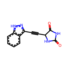 O=C1NC(=O)C(C#Cc2n[nH]c3ccccc23)N1